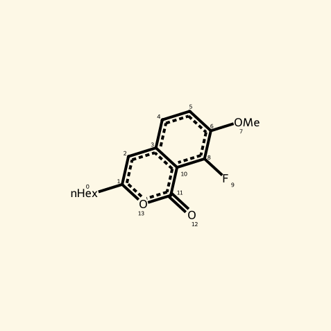 CCCCCCc1cc2ccc(OC)c(F)c2c(=O)o1